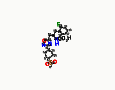 CS(=O)(=O)c1ccc(-c2noc(C[C@@H](Cc3ccccc3F)NC(=O)O)n2)cc1